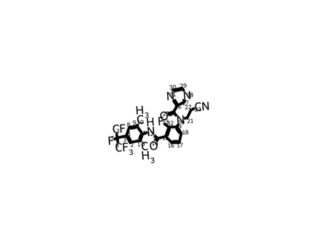 Cc1cc(C(F)(C(F)(F)F)C(F)(F)F)cc(C)c1NC(=O)c1cccc(N(CCC#N)C(=O)c2cnccn2)c1F